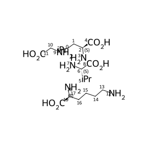 CC(C)C[C@H](N)C(=O)O.CC(C)[C@H](N)C(=O)O.NCC(=O)O.NCCCC[C@H](N)C(=O)O